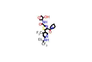 CC[C@H](Nc1cc(C(F)(F)F)c(-c2sc(C(=O)N[C@H]3COC[C@@H]3O)nc2C(=O)N2C3CCC2CC3)cn1)C(F)(F)F